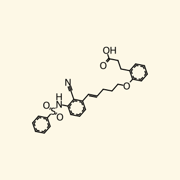 N#Cc1c(/C=C/CCCOc2ccccc2CCC(=O)O)cccc1NS(=O)(=O)c1ccccc1